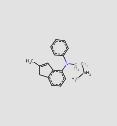 CC1=Cc2c(cccc2N(C)c2ccccc2)C1.C[SiH2]C